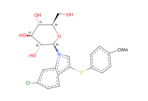 COc1ccc(Sc2cn([C@@H]3O[C@H](CO)[C@@H](O)[C@H](O)[C@H]3O)c3cc(Cl)ccc23)cc1